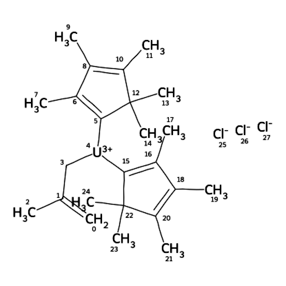 C=C(C)[CH2][U+3]([C]1=C(C)C(C)=C(C)C1(C)C)[C]1=C(C)C(C)=C(C)C1(C)C.[Cl-].[Cl-].[Cl-]